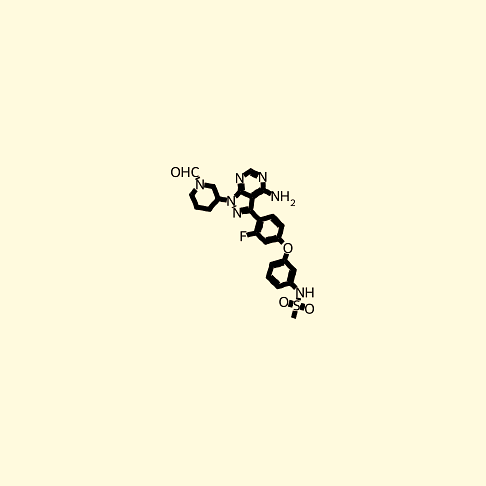 CS(=O)(=O)Nc1cccc(Oc2ccc(-c3nn(C4CCCN(C=O)C4)c4ncnc(N)c34)c(F)c2)c1